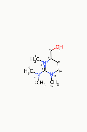 CN(C)C1=[N+](C)C(CO)CCN1C